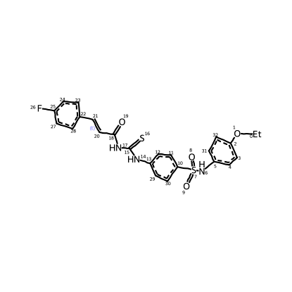 CCOc1ccc(NS(=O)(=O)c2ccc(NC(=S)NC(=O)/C=C/c3ccc(F)cc3)cc2)cc1